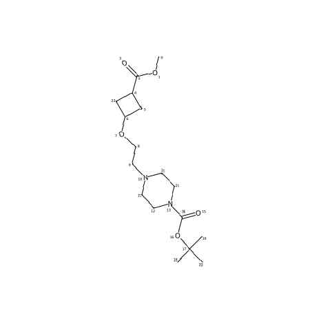 COC(=O)C1CC(OCCN2CCN(C(=O)OC(C)(C)C)CC2)C1